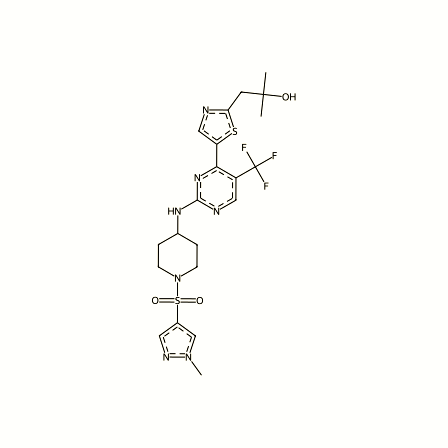 Cn1cc(S(=O)(=O)N2CCC(Nc3ncc(C(F)(F)F)c(-c4cnc(CC(C)(C)O)s4)n3)CC2)cn1